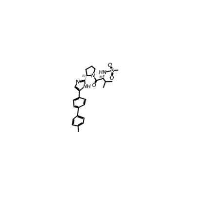 Cc1ccc(-c2ccc(-c3cnc([C@@H]4CCCN4C(=O)[C@H](NS(C)(=O)=O)C(C)C)[nH]3)cc2)cc1